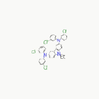 CCn1c2ccc(N(c3cccc(Cl)c3)c3cccc(Cl)c3)cc2c2cc(N(c3cccc(Cl)c3)c3cccc(Cl)c3)ccc21